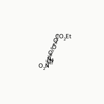 CCOC(=O)COCCOCCOCCn1cc([N+](=O)[O-])cn1